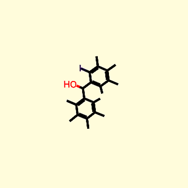 Cc1c(C)c(C)c(C(O)c2c(C)c(C)c(C)c(C)c2I)c(C)c1C